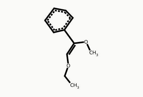 CCOC=C(OC)c1ccccc1